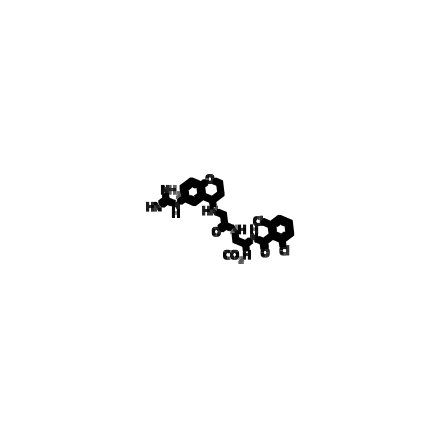 N=C(N)Nc1ccc2c(c1)C(NCC(=O)NCC(NC(=O)c1c(Cl)cccc1Cl)C(=O)O)CCO2